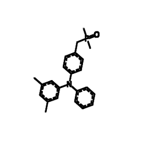 Cc1cc(C)cc(N(c2ccccc2)c2ccc(CP(C)(C)=O)cc2)c1